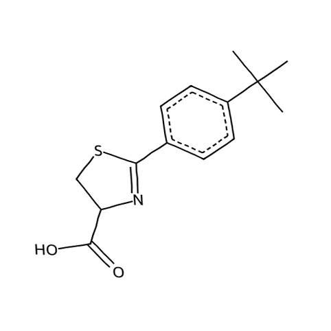 CC(C)(C)c1ccc(C2=NC(C(=O)O)CS2)cc1